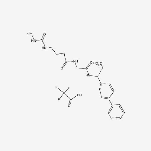 CCCNC(=O)NCCCC(=O)NCC(=O)NC(CC(=O)O)c1ccc(-c2ccccc2)cc1.O=C(O)C(F)(F)F